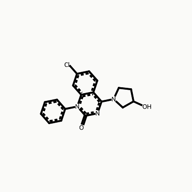 O=c1nc(N2CCC(O)C2)c2ccc(Cl)cc2n1-c1ccccc1